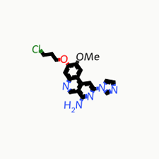 COc1cc2c(cc1OCCCCl)ncc1c(N)nc(-n3ccnc3)cc12